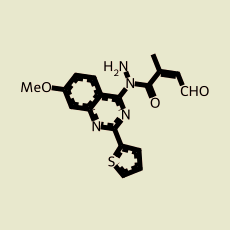 COc1ccc2c(N(N)C(=O)/C(C)=C\C=O)nc(-c3cccs3)nc2c1